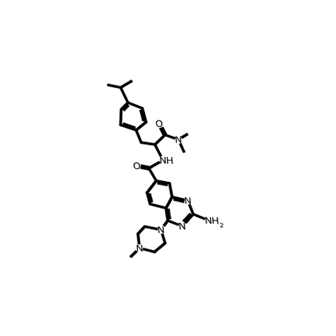 CC(C)c1ccc(CC(NC(=O)c2ccc3c(N4CCN(C)CC4)nc(N)nc3c2)C(=O)N(C)C)cc1